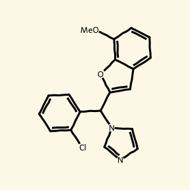 COc1cccc2cc(C(c3ccccc3Cl)n3ccnc3)oc12